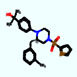 Cc1cccc(C[C@H]2CN(S(=O)(=O)c3cccs3)CCN2c2ccc(C(C)(C)O)cc2)c1